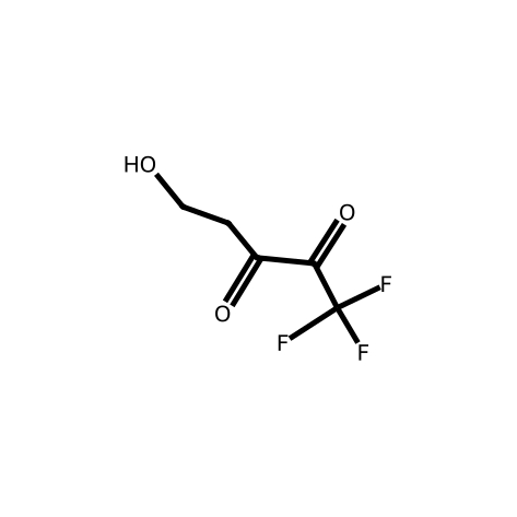 O=C(CCO)C(=O)C(F)(F)F